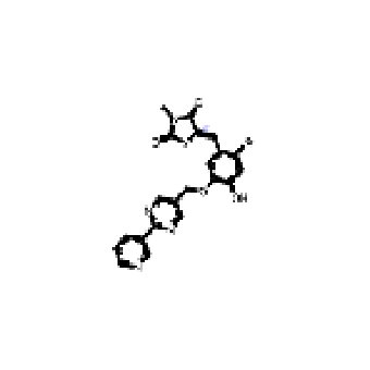 CN1C(=O)S/C(=C\c2cc(OCc3cnc(-c4cccnc4)nc3)c(O)cc2Br)C1=O